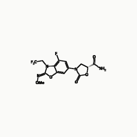 CO/N=c1\oc2cc(N3C[C@H](C(N)=O)OC3=O)cc(F)c2n1CC(F)(F)F